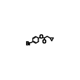 O=C(CC1CC1)Oc1ccc(Br)cc1